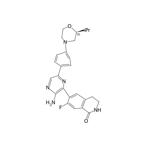 CC(C)[C@H]1CN(c2ccc(-c3cnc(N)c(-c4cc5c(cc4F)C(=O)NCC5)n3)cc2)CCO1